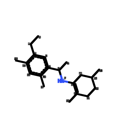 CCc1cc(C(C)NC2=C(C)CCC(C)C2)c(C)cc1C